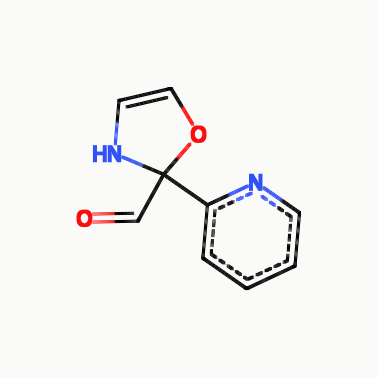 O=CC1(c2ccccn2)NC=CO1